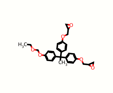 CCOCOc1ccc(C(C)(c2ccc(OCC3CO3)cc2)c2ccc(OCC3CO3)cc2)cc1